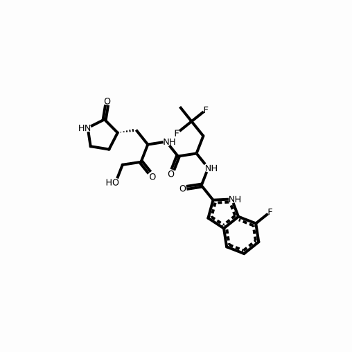 CC(F)(F)CC(NC(=O)c1cc2cccc(F)c2[nH]1)C(=O)NC(C[C@@H]1CCNC1=O)C(=O)CO